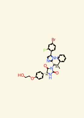 C[C@H](c1ccccc1)[C@@H](c1ncc(-c2ccc(Br)cc2F)[nH]1)N1C(=O)N[C@H](c2ccc(OCCO)cc2)C1=O